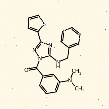 CN(C)c1cccc(C(=O)n2nc(-c3cccs3)nc2NCc2ccccc2)c1